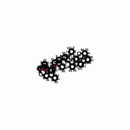 c1ccc(-c2nc(-c3ccc4ccc(-c5cccc6c5-c5ccccc5C65c6ccccc6Oc6ccc(-c7ccccc7-c7cc(-c8ccc(-c9ccccc9)c9ccccc89)nc(-c8ccccc8)n7)cc65)cc4c3)cc(-c3ccccc3-c3ccc4c(c3)C3(c5ccccc5O4)c4ccccc4-c4ccccc43)n2)cc1